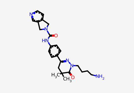 CC1(C)CC(c2ccc(NC(=O)N3Cc4ccncc4C3)cc2)=NN(CCCCN)C1=O